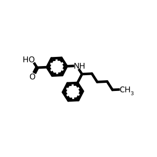 CCCCCC(Nc1ccc(C(=O)O)cc1)c1ccccc1